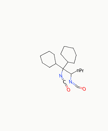 CCCC(N=C=O)C(N=C=O)(C1CCCCC1)C1CCCCC1